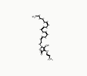 C/C=C/OC1=C(O)[C@H](CC/C=C\C/C=C\C/C=C\C/C=C\CCCCC)OC1=O